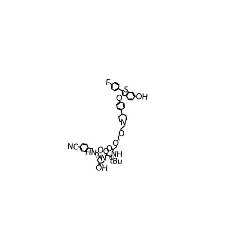 CC(C)(C)[C@H](NC(=O)COCCOCCN1CCC(c2ccc(Oc3c(-c4ccc(F)cc4)sc4cc(O)ccc34)cc2)CC1)C(=O)N1C[C@H](O)C[C@H]1C(=O)NCc1ccc(C#N)cc1